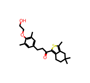 Cc1cc(CCC(=O)c2sc(C)c3c2CCC(C)(C)C3)cc(C)c1OCCO